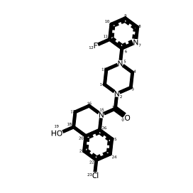 O=C(N1CCN(c2ncccc2F)CC1)N1CCC(O)c2cc(Cl)ccc21